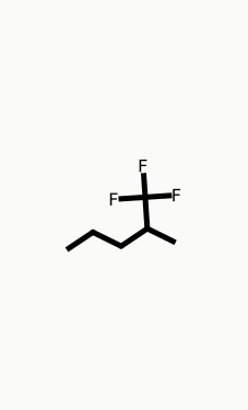 CCCC(C)C(F)(F)F